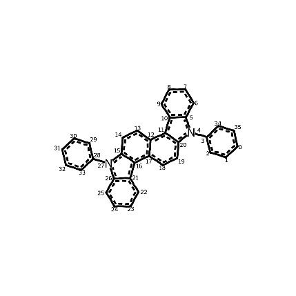 c1ccc(-n2c3ccccc3c3c4ccc5c(c4ccc32)c2ccccc2n5-c2ccccc2)cc1